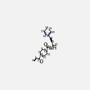 C=CC(=O)N1CCN(C(=O)NC(C)C#CC(/C=C\C)=C/C)CC1